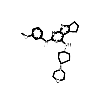 COc1cccc(Nc2nc(N[C@H]3CC[C@H](N4CCOCC4)CC3)c3c4c(sc3n2)CCC4)c1